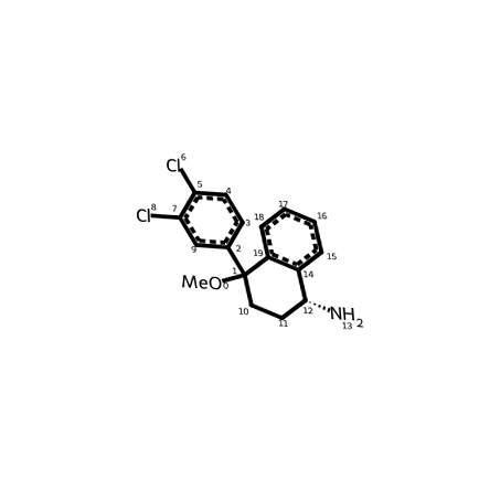 COC1(c2ccc(Cl)c(Cl)c2)CC[C@@H](N)c2ccccc21